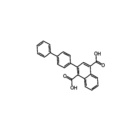 O=C(O)c1cc(-c2ccc(-c3ccccc3)cc2)c(C(=O)O)c2ccccc12